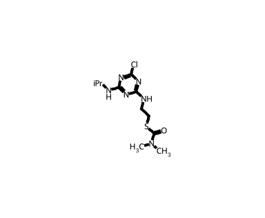 CC(C)Nc1nc(Cl)nc(NCCSC(=O)N(C)C)n1